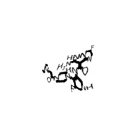 CN(C)CC(=O)N1CCN(C2C(F)CNCC2NC(=O)C2C3=NCC(F)CN3NC2N)CC1